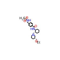 CCOC[C@@H]1CCCN(C[C@H]2CCCC[C@@H]2NC(=O)c2ccc(CNS(C)(=O)=O)cc2)C1